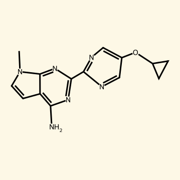 Cn1ccc2c(N)nc(-c3ncc(OC4CC4)cn3)nc21